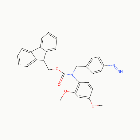 COc1ccc(N(Cc2ccc(N=N)cc2)C(=O)OCC2c3ccccc3-c3ccccc32)c(OC)c1